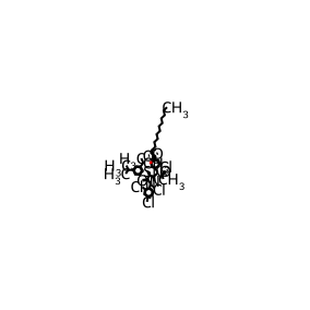 CCCCCCCCCCCCS(=O)(=O)c1ccc(N(C(C)=O)C2=NN(c3c(Cl)cc(Cl)cc3Cl)C(=O)C2Sc2ccc(C(C)C)cc2C(C)C)c(Cl)c1